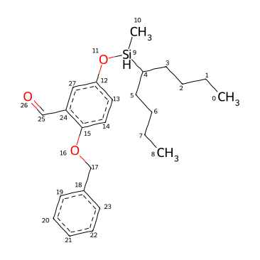 CCCCC(CCCC)[SiH](C)Oc1ccc(OCc2ccccc2)c(C=O)c1